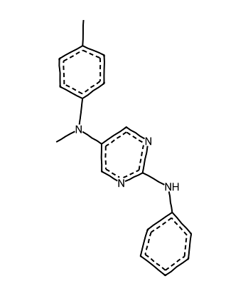 Cc1ccc(N(C)c2cnc(Nc3ccccc3)nc2)cc1